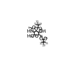 CC(=O)N[C@@H]1[C@@H](OC(=O)C(C)(C)C)[C@@H](O)[C@@H](COC(=O)C(C)(C)C)O[C@H]1O